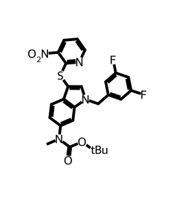 CN(C(=O)OC(C)(C)C)c1ccc2c(Sc3ncccc3[N+](=O)[O-])cn(Cc3cc(F)cc(F)c3)c2c1